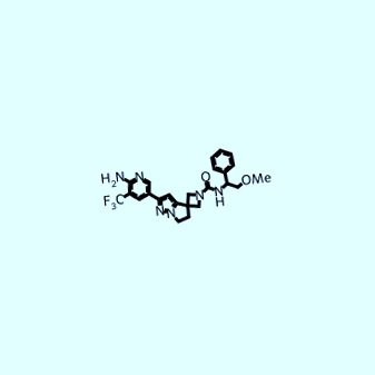 COCC(NC(=O)N1CC2(CCn3nc(-c4cnc(N)c(C(F)(F)F)c4)cc32)C1)c1ccccc1